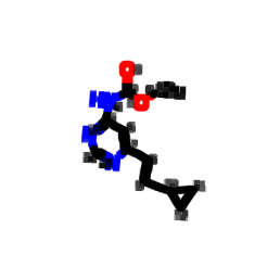 CC(C)(C)OC(=O)Nc1cc(C=CC2CC2)ncn1